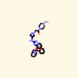 Cc1ccccc1C(=O)N1C2CCC1CN(c1cccn3nc(Nc4cnn(CC(=O)N5CCN(C)CC5)c4)nc13)C2